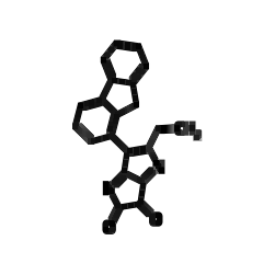 C=Cc1nc2c(=O)c(=O)nc-2c1-c1cccc2c1Cc1ccccc1-2